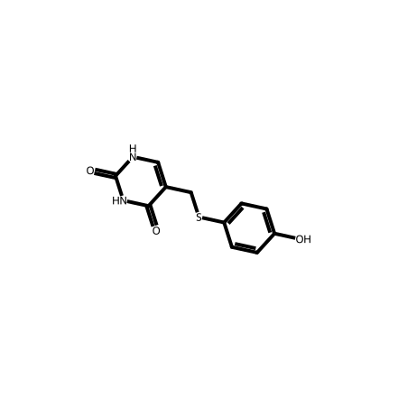 O=c1[nH]cc(CSc2ccc(O)cc2)c(=O)[nH]1